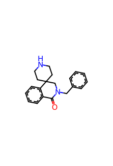 O=C1c2ccccc2C2(CCNCC2)CN1Cc1ccccc1